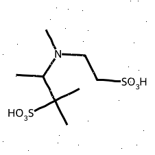 CC(N(C)CCS(=O)(=O)O)C(C)(C)S(=O)(=O)O